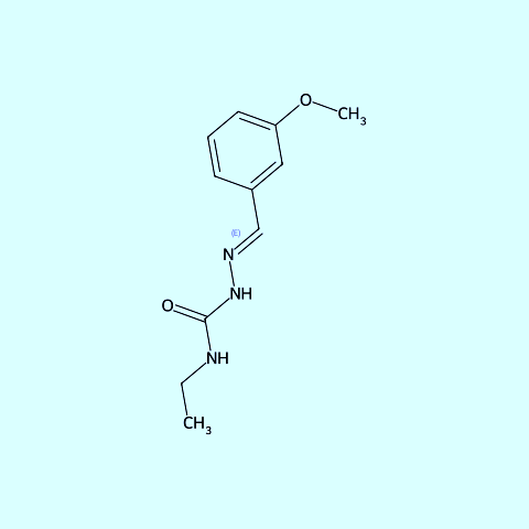 CCNC(=O)N/N=C/c1cccc(OC)c1